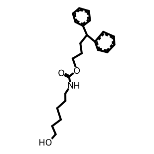 O=C(NCCCCCCO)OCCCC(c1ccccc1)c1ccccc1